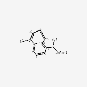 [CH2]CCCCC(CC)c1cccc2c(Br)cccc12